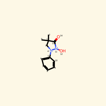 CC1(C)CN(c2ccccc2)N(O)C1=O